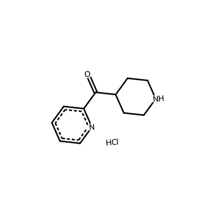 Cl.O=C(c1ccccn1)C1CCNCC1